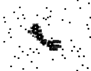 COc1cc([C@@H]2C=C[C@@H](c3ccc(C(=O)Nc4ccccc4N)cc3)O2)cc(OC)c1OC